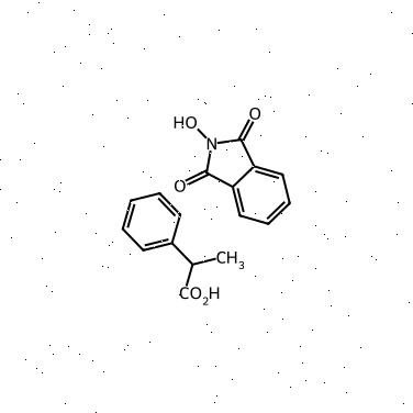 CC(C(=O)O)c1ccccc1.O=C1c2ccccc2C(=O)N1O